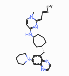 CCC/C=C/C=C1/N=C(NC2CCC[C@H](Cc3cc(N4CCCCC4)cc4nccnc34)CC2)C=CN1C